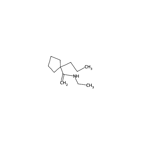 C=C(NCC)C1(CCC)CCCC1